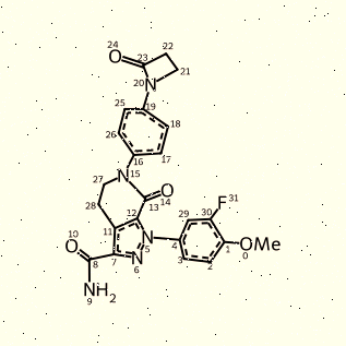 COc1ccc(-n2nc(C(N)=O)c3c2C(=O)N(c2ccc(N4CCC4=O)cc2)CC3)cc1F